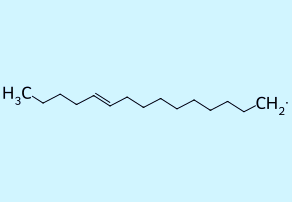 [CH2]CCCCCCCC/C=C/CCCC